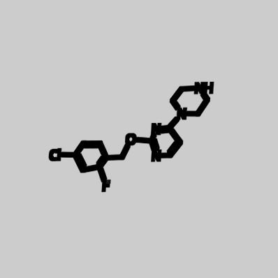 Fc1cc(Cl)ccc1COc1nccc(N2CCNCC2)n1